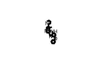 Cc1c(-c2ccccn2)cn2ncc(C#N)c(Nc3ccc(Oc4ccccc4)cc3)c12